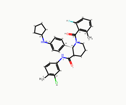 Cc1ccc(NC(=O)C2CCCN(C(=O)c3c(C)cccc3F)[C@H]2c2ccc(NC3CCCC3)cc2)cc1Cl